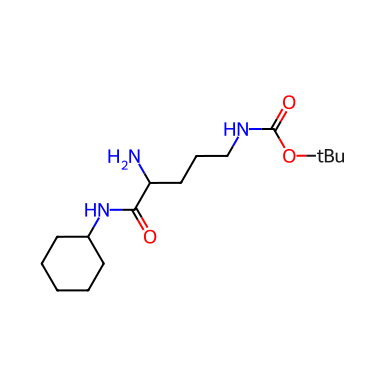 CC(C)(C)OC(=O)NCCCC(N)C(=O)NC1CCCCC1